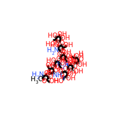 C[C@@H]1OC(CO)[C@@H](O[C@@H]2OC(CO)[C@@H](O[C@@H]3OC(CO[C@H]4OC(CO)[C@@H](O)C(O)[C@H]4O[C@@H]4O[C@@H](CO)[C@@H](O[C@@H]5OC(CO)[C@H](O)C(O)[C@@H]5O)C(O)C4N)[C@@H](O)C(O[C@@H]4OC(CO)[C@H](O)C(O)[C@@H]4O[C@@H]4OC(CO)[C@@H](O[C@@H]5OC(CO)[C@H](O)C(O)[C@@H]5O)C(O)[C@@H]4N)[C@H]3O)C(O)[C@@H]2N)C(O)[C@@H]1N